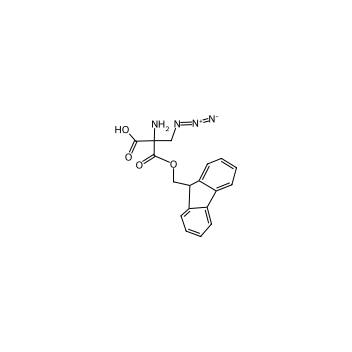 [N-]=[N+]=NCC(N)(C(=O)O)C(=O)OCC1c2ccccc2-c2ccccc21